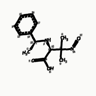 C[C@H](N[C@H](C(=O)O)C(C)(C)N=O)c1ccccc1